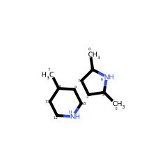 CC1CCC(C)N1.CC1CCNCC1